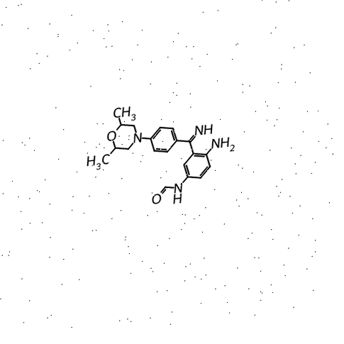 CC1CN(c2ccc(C(=N)c3cc(NC=O)ccc3N)cc2)CC(C)O1